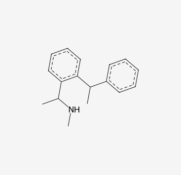 CNC(C)c1ccccc1C(C)c1ccccc1